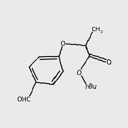 CCCCOC(=O)C(C)Oc1ccc(C=O)cc1